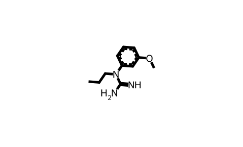 CCCN(C(=N)N)c1cccc(OC)c1